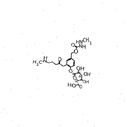 CNCCCC(=O)Cc1cc(COC(=O)NNC)ccc1O[C@H]1O[C@@H](C(=O)O)[C@H](O)[C@@H](O)[C@@H]1O